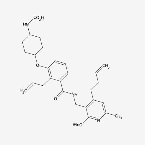 C=CCCc1cc(C)nc(OC)c1CNC(=O)c1cccc(OC2CCC(NC(=O)O)CC2)c1CC=C